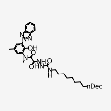 CCCCCCCCCCCCCCCCCCNC(=O)NNC(=O)C(=O)N(C)c1cc(C)cc(-n2nc3ccccc3n2)c1O